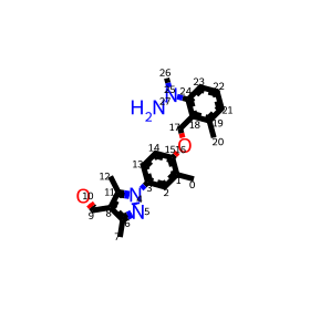 Cc1cc(-n2nc(C)c(C=O)c2C)ccc1OCc1c(C)cccc1N(C)N